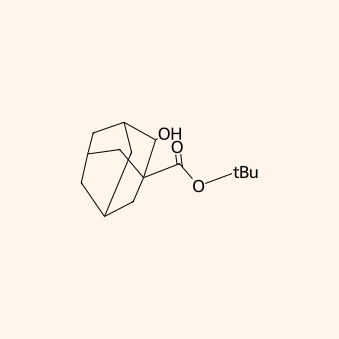 CC(C)(C)OC(=O)C12CC3CC(CC(C3)C1O)C2